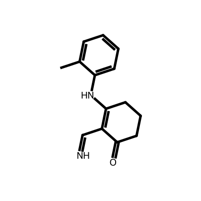 Cc1ccccc1NC1=C(C=N)C(=O)CCC1